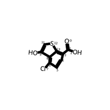 O=C(O)c1ccc(Cl)c2c(O)csc12